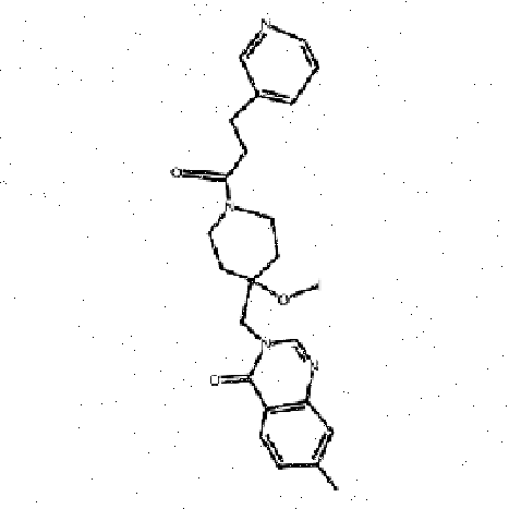 Cc1ccc2c(=O)n(CC3(OI)CCN(C(=O)CCc4cccnc4)CC3)cnc2c1